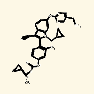 CCc1cnc(Oc2ccc3c(C#N)c(-c4ccc(NC(=O)O[C@H](C)C5CC5)cc4C)n(CC4CC4)c3c2)nc1